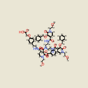 COCCN1C=CC(C(=O)NCCc2ccc(OCC(=O)O)cc2)C(OC(=O)c2ccccc2)(C(=O)N(CCNC(=O)c2ccn(CCOC)c(=O)c2OCc2ccccc2)CCNC(=O)c2ccn(CCOC)c(=O)c2OCc2ccccc2)C1=O